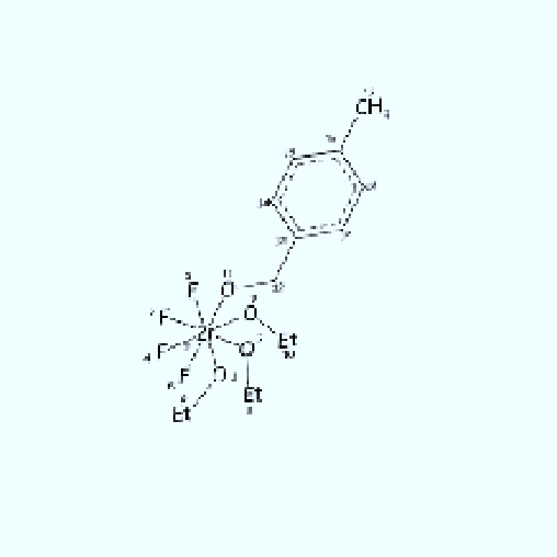 CC[O][Zr]([F])([F])([F])([F])([O]CC)([O]CC)[O]Cc1ccc(C)cc1